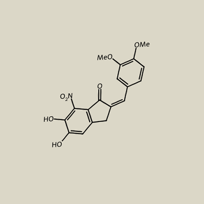 COc1ccc(/C=C2/Cc3cc(O)c(O)c([N+](=O)[O-])c3C2=O)cc1OC